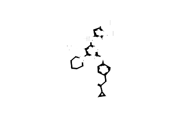 COc1c(Nc2cc(C)[nH]n2)nc(Sc2ccc(CC(=O)C3CC3)cc2)nc1N1CCC(O)CC1